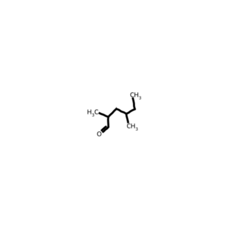 CCC(C)[CH]C(C)C=O